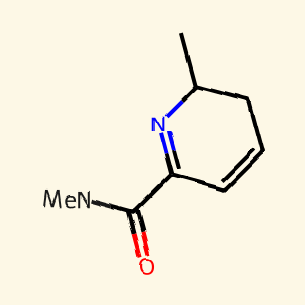 CNC(=O)C1=NC(C)CC=C1